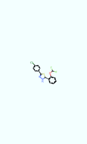 FC(F)Oc1ccccc1C1NN=C(c2ccc(Cl)cc2)S1